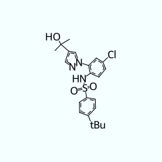 CC(C)(C)c1ccc(S(=O)(=O)Nc2ccc(Cl)cc2-n2cc(C(C)(C)O)cn2)cc1